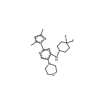 Cc1cc(C)n(-c2ncc(N3CCOCC3)c(NC3CCC(F)(F)CC3)n2)n1